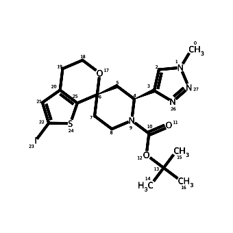 Cn1cc([C@@H]2C[C@]3(CCN2C(=O)OC(C)(C)C)OCCc2cc(I)sc23)nn1